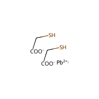 O=C([O-])CS.O=C([O-])CS.[Pb+2]